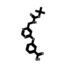 CC(C)(C)OC(=O)NCc1cc(Oc2cccc(C(=O)O)c2)ncn1